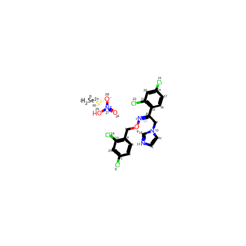 Clc1ccc(CO/N=C(\Cn2ccnc2)c2ccc(Cl)cc2Cl)c(Cl)c1.O=[N+]([O-])O.[S-2].[SeH2+2]